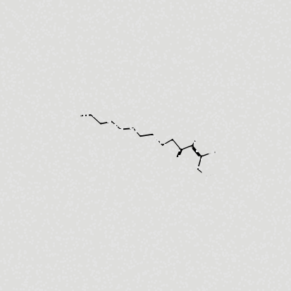 CCCCCCCCCCCC(O)=C(C(=O)O)C(=O)CCCCCCCCCO